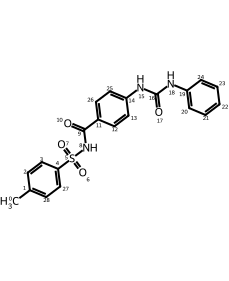 Cc1ccc(S(=O)(=O)NC(=O)c2ccc(NC(=O)Nc3ccccc3)cc2)cc1